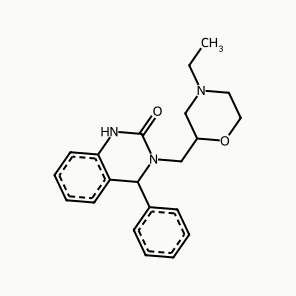 CCN1CCOC(CN2C(=O)Nc3ccccc3C2c2ccccc2)C1